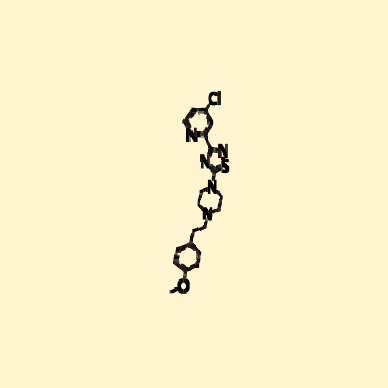 COc1ccc(CCN2CCN(c3nc(-c4cc(Cl)ccn4)ns3)CC2)cc1